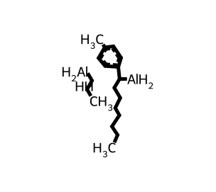 CCCCCCC[CH]([AlH2])c1ccc(C)cc1.CC[CH2][AlH2].[HH]